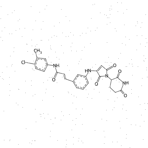 Cc1cc(NC(=O)/C=C/c2cccc(NC3=CC(=O)N(C4CCC(=O)NC4=O)C3=O)c2)ccc1Cl